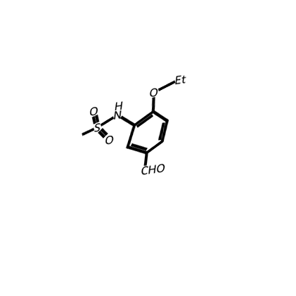 CCOc1ccc(C=O)cc1NS(C)(=O)=O